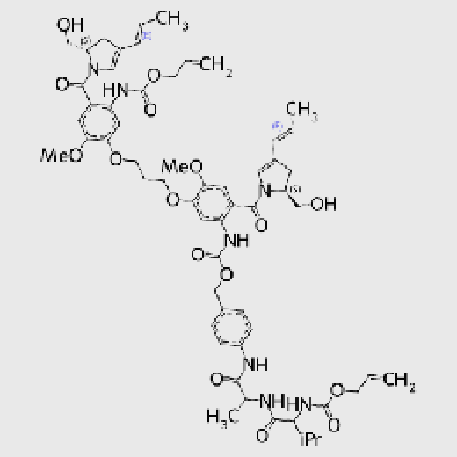 C=CCOC(=O)Nc1cc(OCCCOc2cc(NC(=O)OCc3ccc(NC(=O)C(C)NC(=O)C(NC(=O)OCC=C)C(C)C)cc3)c(C(=O)N3C=C(/C=C/C)C[C@H]3CO)cc2OC)c(OC)cc1C(=O)N1C=C(/C=C/C)C[C@H]1CO